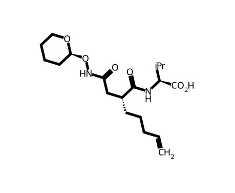 C=CCCC[C@H](CC(=O)NO[C@H]1CCCCO1)C(=O)N[C@H](C(=O)O)C(C)C